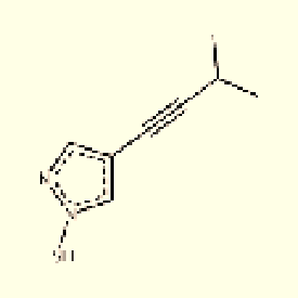 CC(C)C#Cc1cnn(S)c1